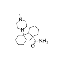 CN1CCN(C2(C3CCCCC3(C)C(N)=O)CCCCC2)CC1